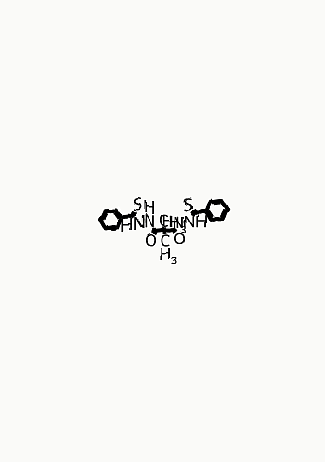 CC(C)(C(=O)NNC(=S)c1ccccc1)C(=O)NNC(=S)c1ccccc1